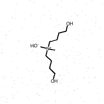 C[N+](C)(CCCCO)CCCCO.[OH-]